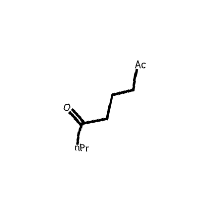 [CH2]CCC(=O)CCCC(C)=O